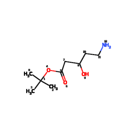 CC(C)(C)OC(=O)CC(O)CCN